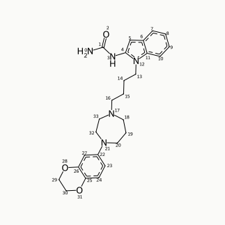 NC(=O)Nc1cc2ccccc2n1CCCCN1CCCN(c2ccc3c(c2)OCCO3)CC1